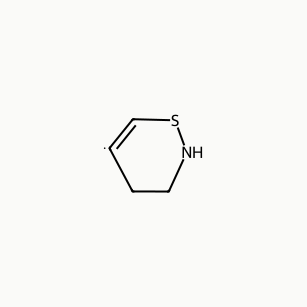 [C]1=CSNCC1